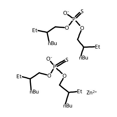 CCCCC(CC)COP([O-])(=S)OCC(CC)CCCC.CCCCC(CC)COP([O-])(=S)OCC(CC)CCCC.[Zn+2]